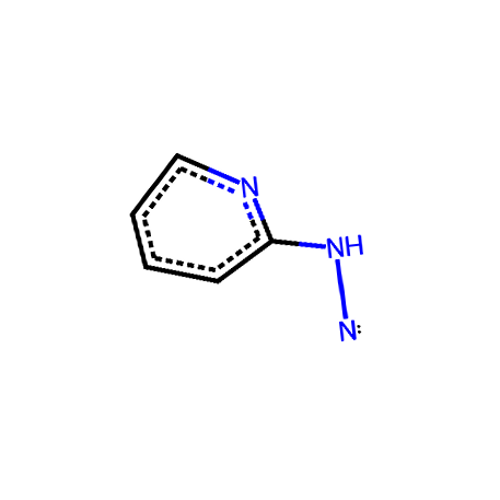 [N]Nc1ccccn1